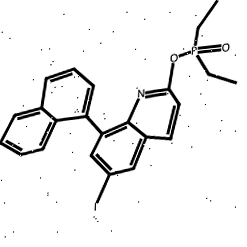 CCP(=O)(CC)Oc1ccc2cc(I)cc(-c3cccc4ccccc34)c2n1